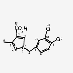 Cc1nn(Cc2ccc(Cl)c(Cl)c2)cc1C(=O)O